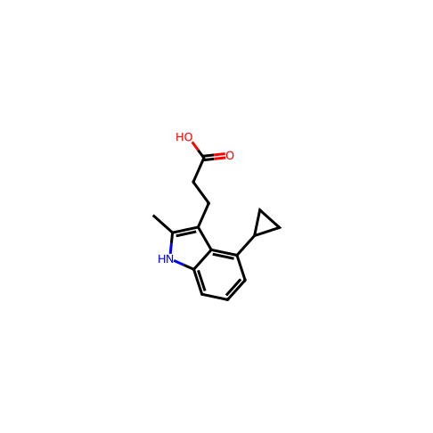 Cc1[nH]c2cccc(C3CC3)c2c1CCC(=O)O